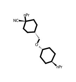 CCC[C@H]1CC[C@H](OC[C@H]2CC[C@@](C#N)(CCC)CC2)CC1